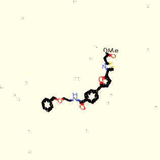 COC(=O)Cc1nc(-c2ccc(-c3ccc(C(=O)NCCOCc4ccccc4)cc3)o2)cs1